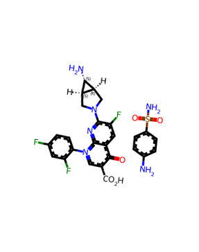 N[C@@H]1[C@H]2CN(c3nc4c(cc3F)c(=O)c(C(=O)O)cn4-c3ccc(F)cc3F)C[C@@H]12.Nc1ccc(S(N)(=O)=O)cc1